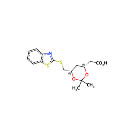 CC1(C)O[C@H](CSc2nc3ccccc3s2)C[C@H](CC(=O)O)O1